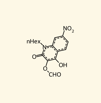 CCCCCCn1c(=O)c(OC=O)c(O)c2ccc([N+](=O)[O-])cc21